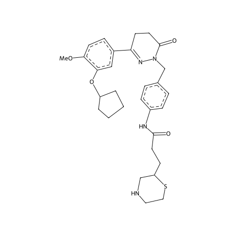 COc1ccc(C2=NN(Cc3ccc(NC(=O)CCC4CNCCS4)cc3)C(=O)CC2)cc1OC1CCCC1